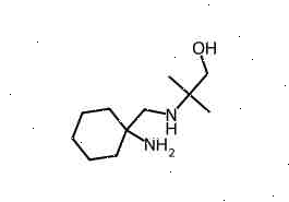 CC(C)(CO)NCC1(N)CCCCC1